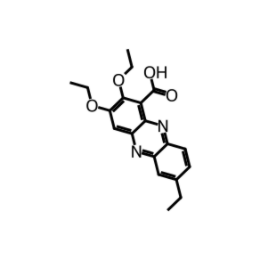 CCOc1cc2nc3cc(CC)ccc3nc2c(C(=O)O)c1OCC